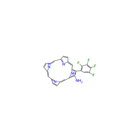 Nc1c(-c2cc(F)c(F)c(F)c2F)c2cc3nc(cc4ccc(cc5nc(cc1[nH]2)C=C5)[nH]4)C=C3